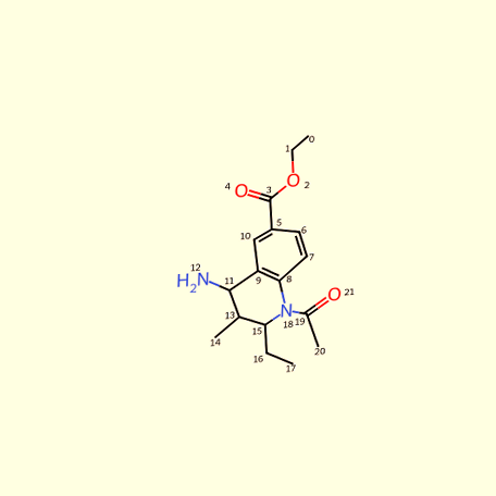 CCOC(=O)c1ccc2c(c1)C(N)C(C)C(CC)N2C(C)=O